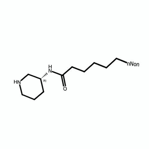 CCCCCCCCCCCCCCC(=O)N[C@@H]1CCCNC1